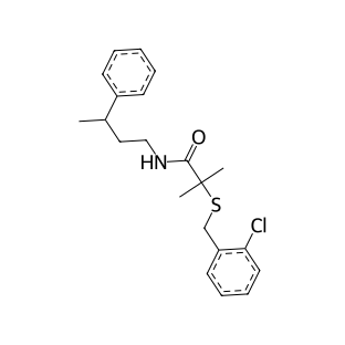 CC(CCNC(=O)C(C)(C)SCc1ccccc1Cl)c1ccccc1